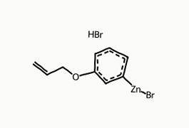 Br.C=CCOc1ccc[c]([Zn][Br])c1